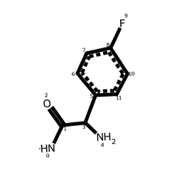 [NH]C(=O)C(N)c1ccc(F)cc1